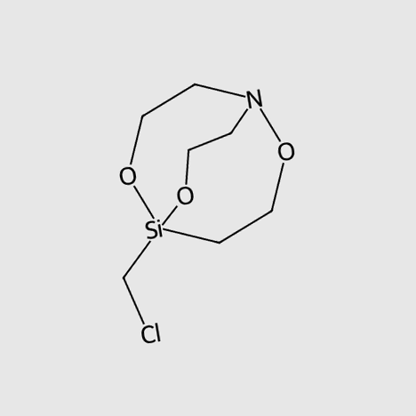 ClC[Si]12CCON(CCO1)CCO2